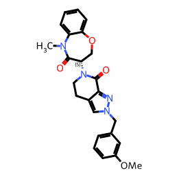 COc1cccc(Cn2cc3c(n2)C(=O)N([C@H]2COc4ccccc4N(C)C2=O)CC3)c1